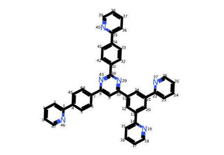 c1ccc(-c2ccc(-c3cc(-c4cc(-c5ccccn5)cc(-c5ccccn5)c4)nc(-c4ccc(-c5ccccn5)cc4)n3)cc2)nc1